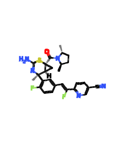 C[C@@H]1CC[C@@H](C)N1C(=O)[C@]12C[C@H]1[C@@](C)(c1cc(/C=C(\F)c3ccc(C#N)cn3)ccc1F)N=C(N)S2